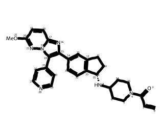 C=CC(=O)N1CCC(N[C@H]2CCc3cc(-c4nc5ccc(OC)nn5c4-c4ccncc4)ccc32)CC1